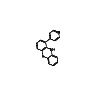 c1ccc2c(c1)Nc1c(cccc1-c1ccncc1)S2